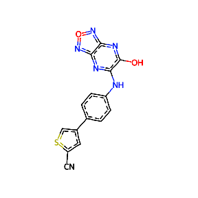 N#Cc1cc(-c2ccc(Nc3nc4nonc4nc3O)cc2)cs1